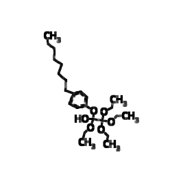 CCCCCCCCc1ccc(OC(O)(OCC)C(OCC)(OCC)OCC)cc1